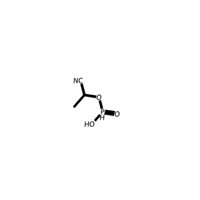 CC(C#N)O[PH](=O)O